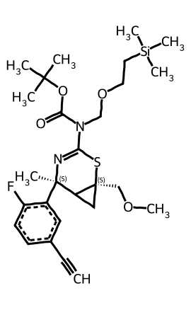 C#Cc1ccc(F)c([C@@]2(C)N=C(N(COCC[Si](C)(C)C)C(=O)OC(C)(C)C)S[C@@]3(COC)CC32)c1